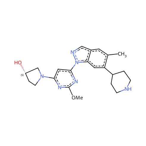 COc1nc(N2CC[C@H](O)C2)cc(-n2ncc3cc(C)c(C4CCNCC4)cc32)n1